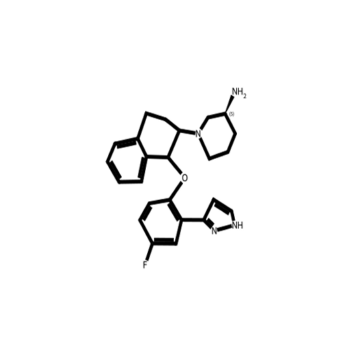 N[C@H]1CCCN(C2CCc3ccccc3C2Oc2ccc(F)cc2-c2cc[nH]n2)C1